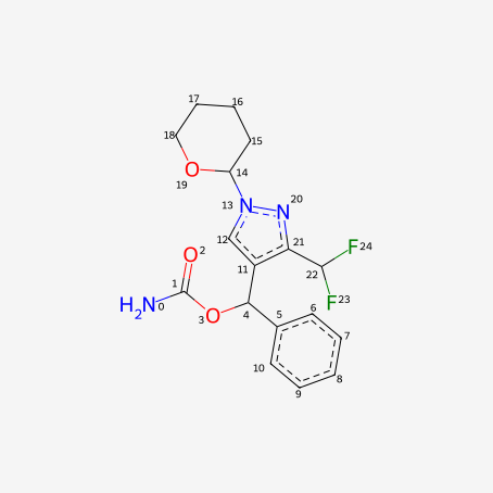 NC(=O)OC(c1ccccc1)c1cn(C2CCCCO2)nc1C(F)F